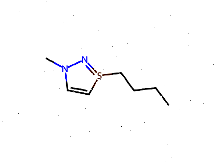 CCCCS1=NN(C)C=C1